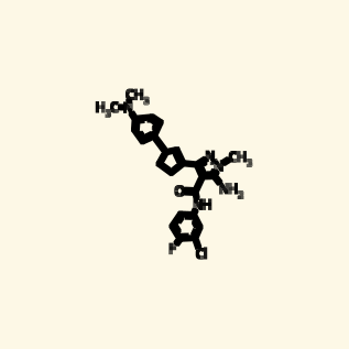 CN(C)c1ccc(C2C=C(c3nn(C)c(N)c3C(=O)Nc3ccc(F)c(Cl)c3)CC2)cc1